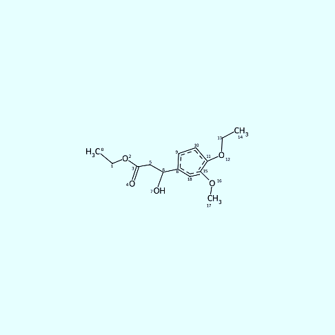 CCOC(=O)CC(O)c1ccc(OCC)c(OC)c1